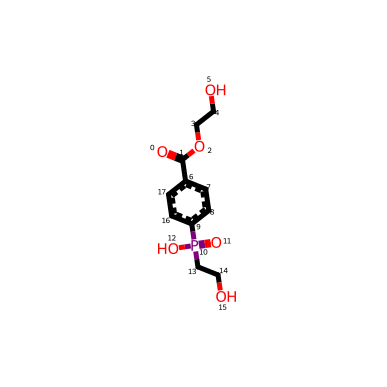 O=C(OCCO)c1ccc(P(=O)(O)CCO)cc1